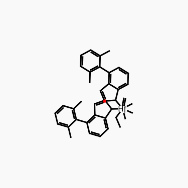 [CH2]=[Hf]([CH3])([CH3])([CH3])([CH2]C)([CH]1C=Cc2c(-c3c(C)cccc3C)cccc21)[CH]1C=Cc2c(-c3c(C)cccc3C)cccc21